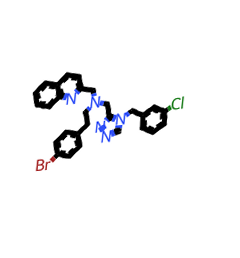 Clc1cccc(Cn2cnnc2CN(CCc2ccc(Br)cc2)Cc2ccc3ccccc3n2)c1